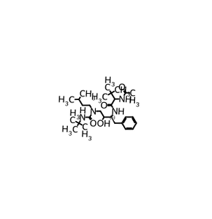 CC(=O)NC(C(=O)N[C@@H](Cc1ccccc1)C(O)CN(CCC(C)C)C(=O)NC(C)(C)C)C(C)(C)C